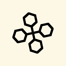 C1CCC(S(C2CCCCC2)(C2CCCCC2)C2CCCCC2)CC1